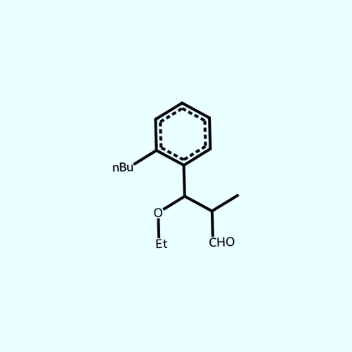 CCCCc1ccccc1C(OCC)C(C)C=O